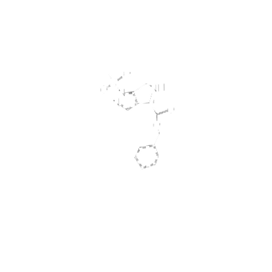 CS(=O)(=O)n1ncc2c1CN[C@H]2C(=O)OCc1ccccc1